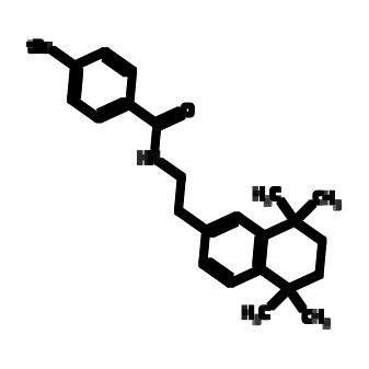 CC(C)(C)c1ccc(C(=O)NCCc2ccc3c(c2)C(C)(C)CCC3(C)C)cc1